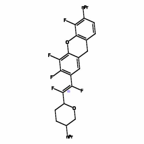 CCCc1ccc2c(c1F)Oc1c(cc(/C(F)=C(\F)C3CCC(CCC)CO3)c(F)c1F)C2